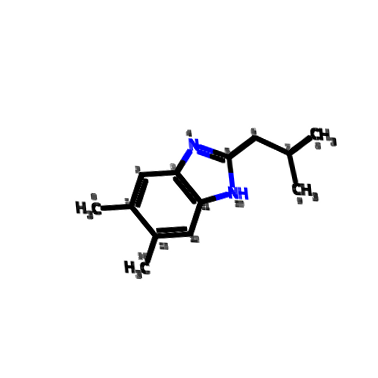 Cc1cc2nc(CC(C)C)[nH]c2cc1C